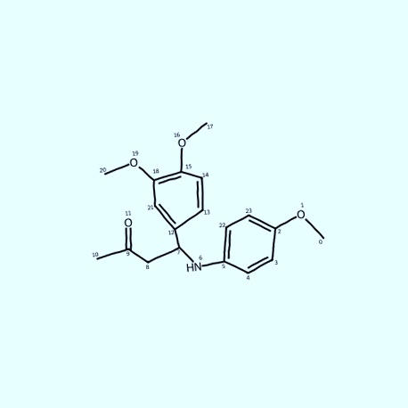 COc1ccc(NC(CC(C)=O)c2ccc(OC)c(OC)c2)cc1